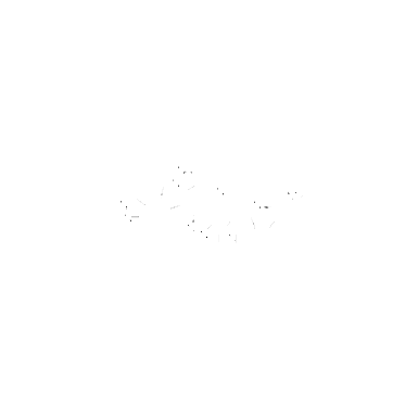 COc1ccc(C(C)NC(=O)c2nnc(-c3cc(-c4cnn(C)c4)cn4ncc(C#N)c34)s2)cn1